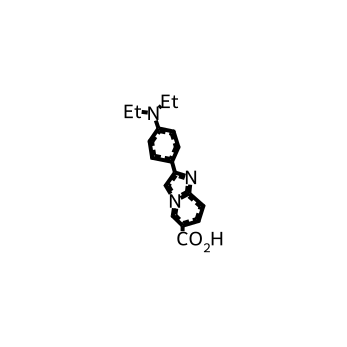 CCN(CC)c1ccc(-c2cn3cc(C(=O)O)ccc3n2)cc1